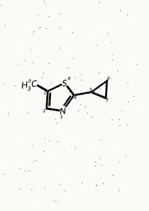 Cc1cnc(C2CC2)s1